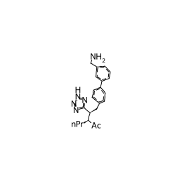 CCC[C@H](C(C)=O)[C@H](Cc1ccc(-c2cccc(CN)c2)cc1)c1nn[nH]n1